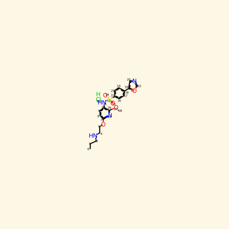 CCCNCCOc1ccc(NS(=O)(=O)c2ccc(-c3cnco3)cc2)c(OC)n1.Cl